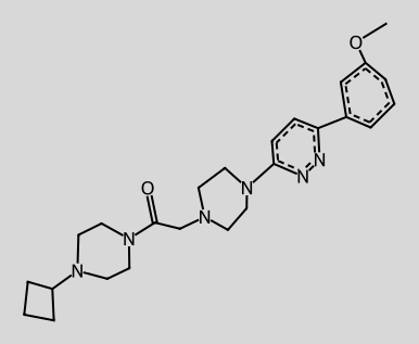 COc1cccc(-c2ccc(N3CCN(CC(=O)N4CCN(C5CCC5)CC4)CC3)nn2)c1